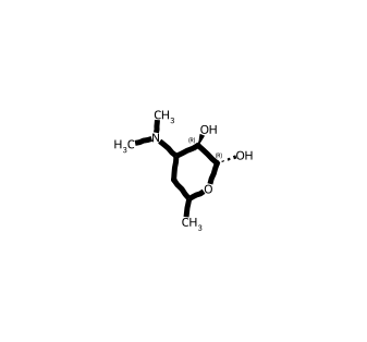 CC1CC(N(C)C)[C@@H](O)[C@H](O)O1